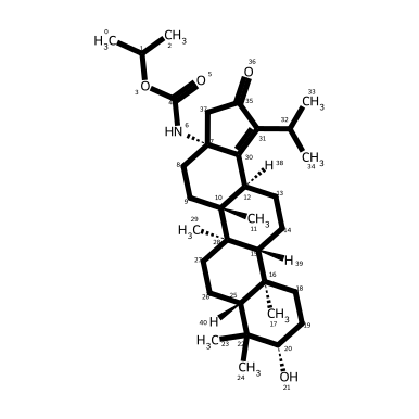 CC(C)OC(=O)N[C@@]12CC[C@]3(C)[C@H](CC[C@@H]4[C@@]5(C)CC[C@H](O)C(C)(C)[C@@H]5CC[C@]43C)C1=C(C(C)C)C(=O)C2